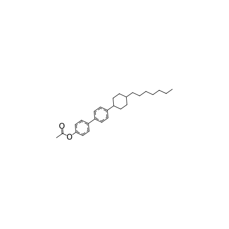 CCCCCCCC1CCC(c2ccc(-c3ccc(OC(C)=O)cc3)cc2)CC1